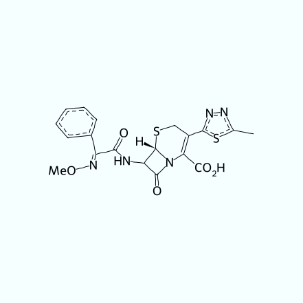 CON=C(C(=O)NC1C(=O)N2C(C(=O)O)=C(c3nnc(C)s3)CS[C@@H]12)c1ccccc1